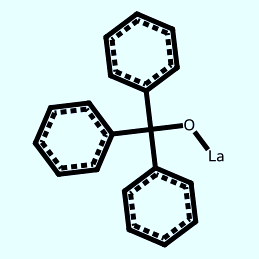 [La][O]C(c1ccccc1)(c1ccccc1)c1ccccc1